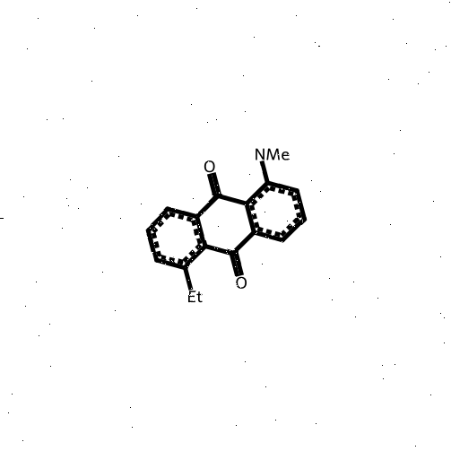 CCc1cccc2c1C(=O)c1cccc(NC)c1C2=O